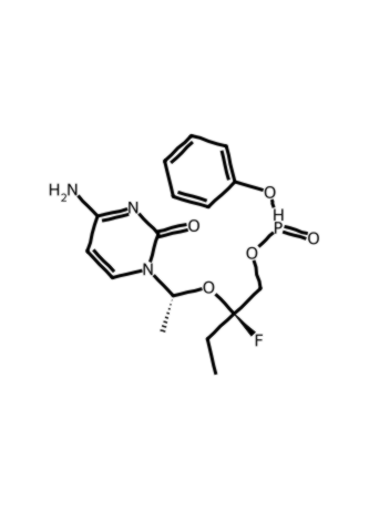 CC[C@@](F)(CO[PH](=O)Oc1ccccc1)O[C@H](C)n1ccc(N)nc1=O